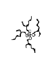 CCCC=C(CC)CO[Si](OCC(=CCCC)CC)(OCC(=CCCC)CC)OCC(=CCCC)CC